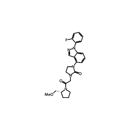 COC[C@H]1CCCN1C(=O)CN1CCN(c2cccc3c2cnn3-c2ccccc2F)C1=O